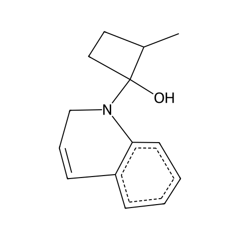 CC1CCC1(O)N1CC=Cc2ccccc21